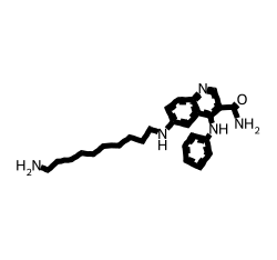 NCCCCCCCCCCNc1ccc2ncc(C(N)=O)c(Nc3ccccc3)c2c1